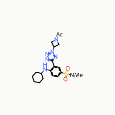 CNS(=O)(=O)c1ccc(NC2CCCCC2)c(-c2nnn(C3CN(C(C)=O)C3)n2)c1